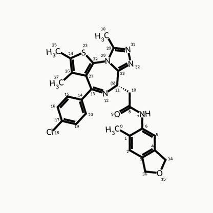 Cc1cc2c(cc1NC(=O)C[C@@H]1N=C(c3ccc(Cl)cc3)c3c(sc(C)c3C)-n3c(C)nnc31)COC2